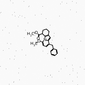 COC(=O)C1CCCc2cc3c(Cc4ccccc4)ccc(OC)n3c21